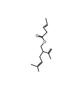 C=C(C)C(CC=C(C)C)COC(=O)C/C=C/C